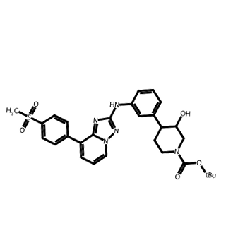 CC(C)(C)OC(=O)N1CCC(c2cccc(Nc3nc4c(-c5ccc(S(C)(=O)=O)cc5)cccn4n3)c2)C(O)C1